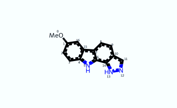 COc1ccc2[nH]c3c(ccc4cn[nH]c43)c2c1